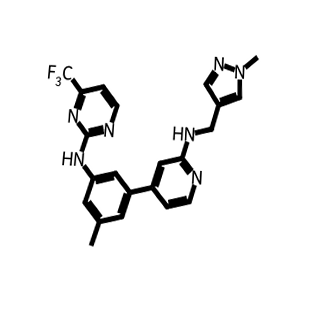 Cc1cc(Nc2nccc(C(F)(F)F)n2)cc(-c2ccnc(NCc3cnn(C)c3)c2)c1